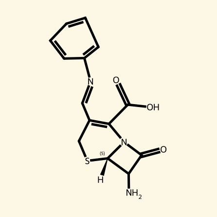 NC1C(=O)N2C(C(=O)O)=C(C=Nc3ccccc3)CS[C@@H]12